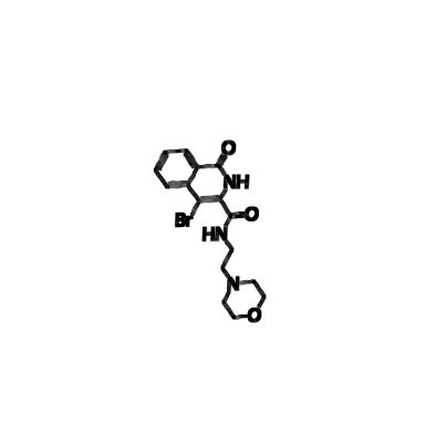 O=C(NCCN1CCOCC1)c1[nH]c(=O)c2ccccc2c1Br